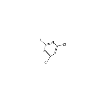 Clc1cc(Cl)nc(I)n1